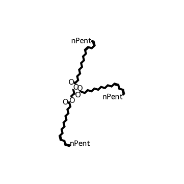 CCCCC/C=C\C/C=C\CCCCCCCCCC(=O)OCC(COC(=O)CCCCCCCCC/C=C\C/C=C\CCCCC)OC(=O)CCCCCCCCC/C=C\C/C=C\CCCCC